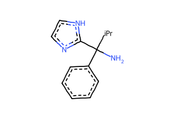 CC(C)C(N)(c1ccccc1)c1ncc[nH]1